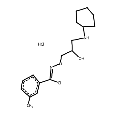 Cl.OC(CNC1CCCCC1)CO/N=C(\Cl)c1cccc(C(F)(F)F)c1